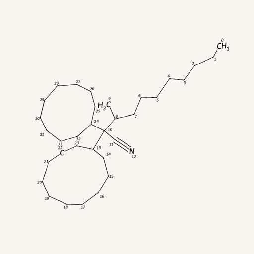 CCCCCCCCC(C)C(C#N)(C1CCCCCCCCCC1)C1CCCCCCCCC1